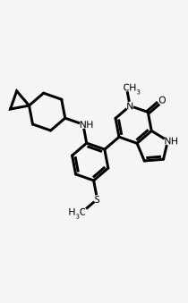 CSc1ccc(NC2CCC3(CC2)CC3)c(-c2cn(C)c(=O)c3[nH]ccc23)c1